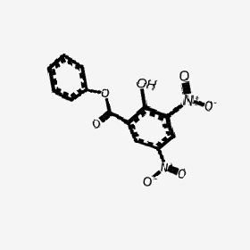 O=C(Oc1ccccc1)c1cc([N+](=O)[O-])cc([N+](=O)[O-])c1O